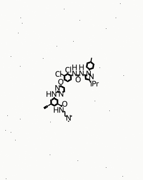 C#Cc1cc(Nc2nccc(Oc3ccc(NC(=O)Nc4cc(C(C)C)nn4-c4ccc(C)cc4)c(Cl)c3Cl)n2)cc(C(=O)NCCN(C)C)c1